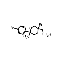 CCC1(CC(=O)O)CCC(C)(c2ccc(Br)cc2)OC1